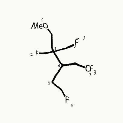 COC(F)(F)C(CF)C(F)(F)F